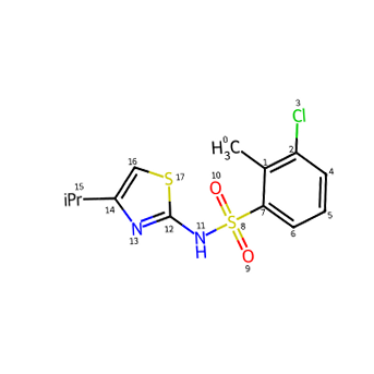 Cc1c(Cl)cccc1S(=O)(=O)Nc1nc(C(C)C)cs1